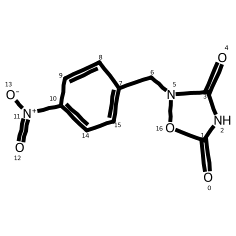 O=c1[nH]c(=O)n(Cc2ccc([N+](=O)[O-])cc2)o1